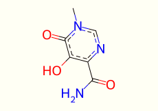 Cn1cnc(C(N)=O)c(O)c1=O